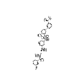 COc1ccc(-c2cccc(C(=O)N(C)C)c2)cc1S(=O)(=O)Nc1cccc(NCCNC(=O)c2cccc(F)c2)c1